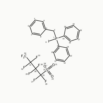 I[P+](Cc1ccccc1)(c1ccccc1)c1ccccc1.O=S(=O)([O-])C(F)(F)C(F)(F)C(F)(F)C(F)(F)F